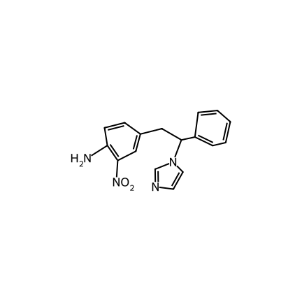 Nc1ccc(CC(c2ccccc2)n2ccnc2)cc1[N+](=O)[O-]